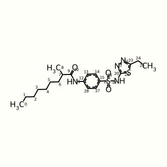 CCCCCCCC(C)C(=O)Nc1ccc(S(=O)(=O)Nc2nnc(CC)s2)cc1